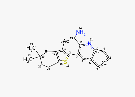 CC(=O)c1c(-c2cc3ccccc3nc2CN)sc2c1CC(C)(C)CC2